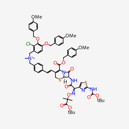 COc1ccc(COC(=O)C2=C(/C=C/c3ccc(C[N+](C)(C)Cc4ccc(OCc5ccc(OC)cc5)c(OCc5ccc(OC)cc5)c4Cl)cc3)CS[C@@H]3[C@H](NC(=O)/C(=N\OC(C)(C)C(=O)OC(C)(C)C)c4csc(NC(=O)OC(C)(C)C)n4)C(=O)N23)cc1